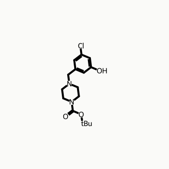 CC(C)(C)OC(=O)N1CCN(Cc2cc(O)cc(Cl)c2)CC1